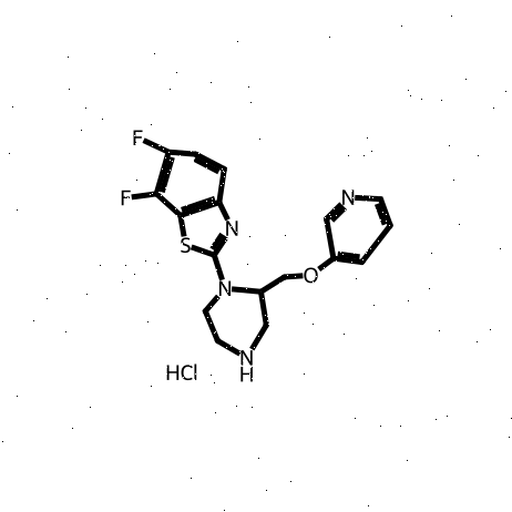 Cl.Fc1ccc2nc(N3CCNCC3COc3cccnc3)sc2c1F